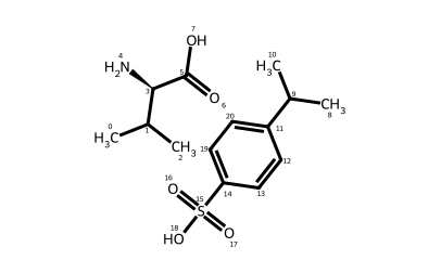 CC(C)[C@@H](N)C(=O)O.CC(C)c1ccc(S(=O)(=O)O)cc1